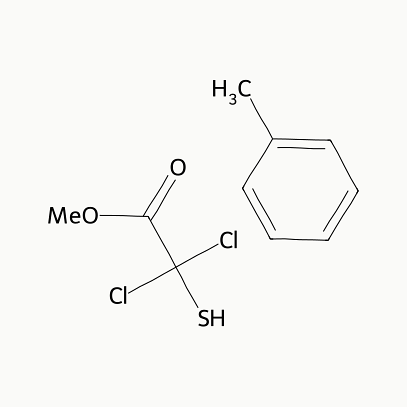 COC(=O)C(S)(Cl)Cl.Cc1ccccc1